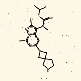 CCc1nn2c(C)cc(N3CC4(CCNC4)C3)cc2c1N(C)C(=N)SC(C)F